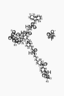 COC(=O)[C@H]1O[C@@H](Oc2ccc(C[n+]3cccc(/C=C/C(=O)NCCCCC4CCN(C(=O)c5cccc(NC(=O)OC(C)(C)C)c5)CC4)c3)cc2NC(=O)CCNC(=O)OCC2c3ccccc3-c3ccccc32)[C@H](OC(C)=O)[C@@H](OC(C)=O)[C@@H]1OC(C)=O.O=C([O-])C(F)(F)F